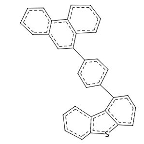 c1ccc2c(c1)cc(-c1ccc(-c3cccc4sc5ccccc5c34)cc1)c1ccccc12